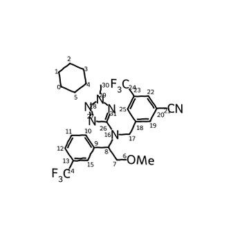 C1CCCCC1.COCC(c1cccc(C(F)(F)F)c1)N(Cc1cc(C#N)cc(C(F)(F)F)c1)c1nnn(C)n1